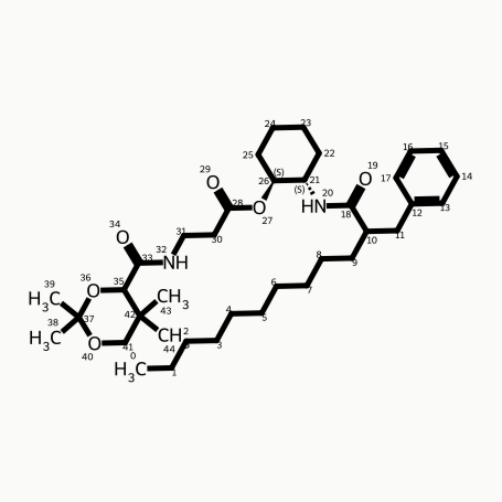 CCCCCCCCCCC(Cc1ccccc1)C(=O)N[C@H]1CCCC[C@@H]1OC(=O)CCNC(=O)C1OC(C)(C)OCC1(C)C